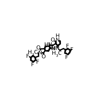 CC(Cc1cc(F)cc(F)c1F)Nc1cc[nH]c(=O)c1-c1nc2cc3c(cc2[nH]1)C(=O)N(C(C)Cc1cc(F)cc(F)c1F)C3=O